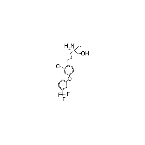 [CH2]C(N)(CO)CCCc1ccc(Oc2cccc(C(F)(F)F)c2)cc1Cl